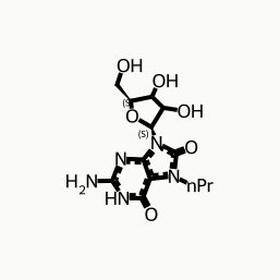 CCCn1c(=O)n([C@H]2O[C@@H](CO)C(O)C2O)c2nc(N)[nH]c(=O)c21